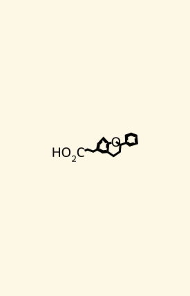 O=C(O)CCc1ccc2c(c1)CCC(c1ccccc1)O2